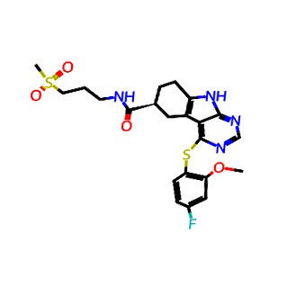 COc1cc(F)ccc1Sc1ncnc2[nH]c3c(c12)C[C@@H](C(=O)NCCCS(C)(=O)=O)CC3